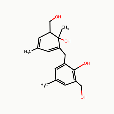 CC1=CC(CO)C(C)(O)C(Cc2cc(C)cc(CO)c2O)=C1